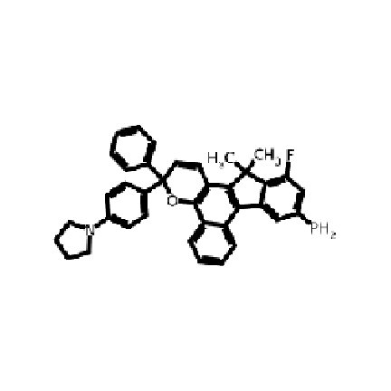 CC1(C)c2c(F)cc(P)cc2-c2c1c1c(c3ccccc23)OC(c2ccccc2)(c2ccc(N3CCCC3)cc2)C=C1